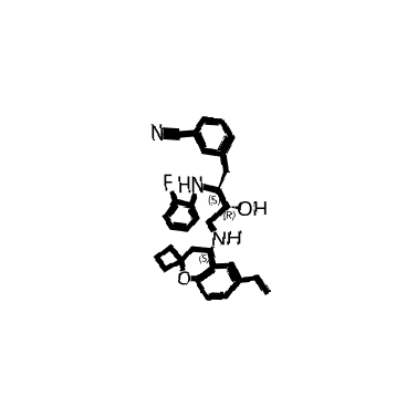 CCc1ccc2c(c1)[C@@H](NC[C@@H](O)[C@H](Cc1cccc(C#N)c1)Nc1ccccc1F)CC1(CCC1)O2